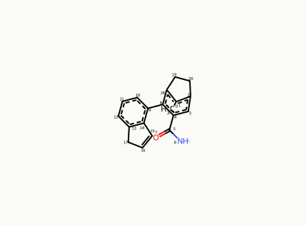 Cc1c2cc(C([NH])=O)c(-c3cccc4c3C=CC4)c1CC2